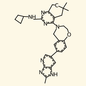 Cc1nc2ncc(-c3ccc4c(c3)CN(c3nc(CNC5CCC5)nc5c3CC(C)(C)CC5)CCO4)cc2[nH]1